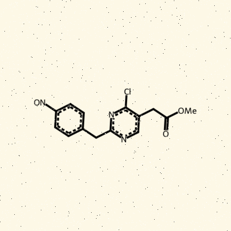 COC(=O)Cc1cnc(Cc2ccc(N=O)cc2)nc1Cl